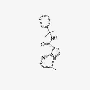 Cc1ccnc2c(C(=O)NC(C)(C)c3ccccc3)ccn12